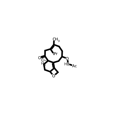 CC(=O)BOC1CC/C(C)=C(\C(C)C)CC(=O)[C@]2(C)CCC3OCC3=C2C1